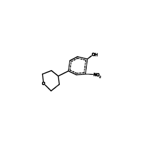 O=[N+]([O-])c1cc(C2CCOCC2)ccc1O